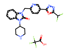 O=C(O)C(F)(F)F.O=c1n(Cc2ccc(-c3nnc(C(F)F)o3)cn2)c2ccccc2n1C1CCNCC1